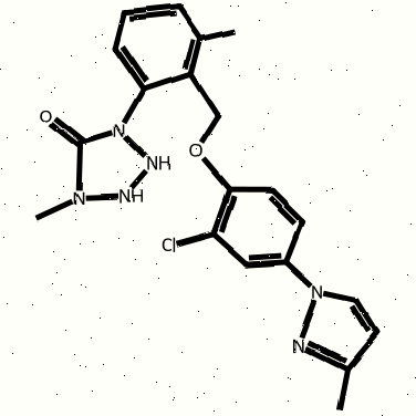 Cc1ccn(-c2ccc(OCc3c(C)cccc3N3NNN(C)C3=O)c(Cl)c2)n1